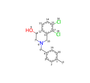 [CH2]c1ccc(CN(CCO)Cc2cccc(Cl)c2Cl)cc1